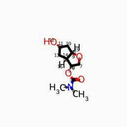 CN(C)C(=O)O[C@H]1CO[C@@H]2C[C@H](O)C[C@H]12